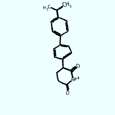 CC(C)c1ccc(-c2ccc(C3CCC(=O)NC3=O)cc2)cc1